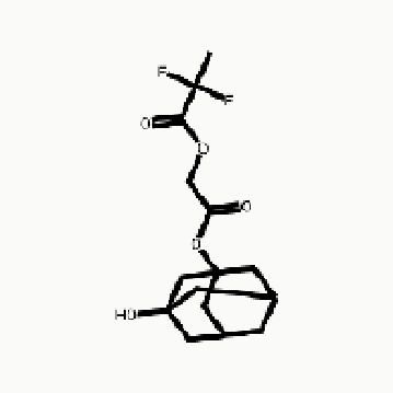 CC(F)(F)C(=O)OCC(=O)OC12CC3CC(CC(O)(C3)C1)C2